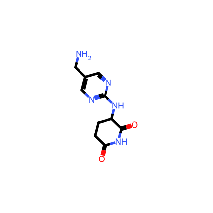 NCc1cnc(NC2CCC(=O)NC2=O)nc1